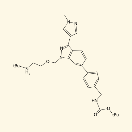 Cn1cc(-c2nn(COCC[SiH2]C(C)(C)C)c3cc(-c4ccc(CNC(=O)OC(C)(C)C)cc4)ccc23)cn1